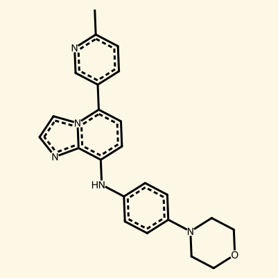 Cc1ccc(-c2ccc(Nc3ccc(N4CCOCC4)cc3)c3nccn23)cn1